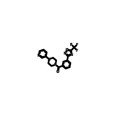 O=C(c1cccc(-c2noc(C(F)(F)F)n2)c1)N1CCN(c2cccnc2)CC1